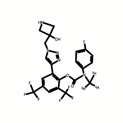 [2H]C([2H])([2H])N(C(=O)Oc1c(-c2cn(CC3(O)CNC3)nn2)cc(C(F)(F)F)cc1C(F)(F)F)c1ccc(F)cc1